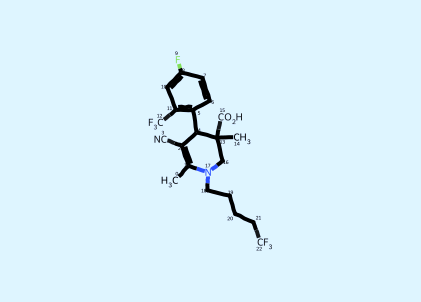 CC1=C(C#N)C(c2ccc(F)cc2C(F)(F)F)C(C)(C(=O)O)CN1CCCCC(F)(F)F